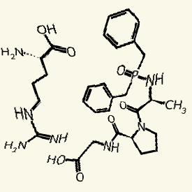 C[C@H](NP(=O)(Cc1ccccc1)Cc1ccccc1)C(=O)N1CCC[C@H]1C(=O)NCC(=O)O.N=C(N)NCCC[C@H](N)C(=O)O